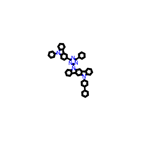 c1ccc(-c2ccc(-n3c4ccccc4c4cc5c(cc43)c3ccccc3n5-c3nc(-c4ccccc4)nc(-c4ccc5c(c4)c4ccccc4n5-c4ccccc4)n3)cc2)cc1